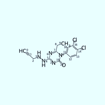 C#CCNNc1nc(CC)n(-c2ccc(Cl)c(Cl)c2)c(=O)n1